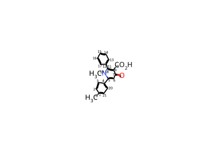 Cc1ccc(-c2cc(=O)c(C(=O)O)c(-c3ccccc3)n2C)cc1